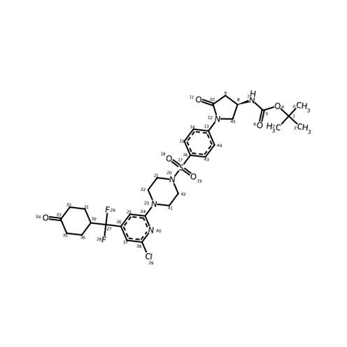 CC(C)(C)OC(=O)N[C@@H]1CC(=O)N(c2ccc(S(=O)(=O)N3CCN(c4cc(C(F)(F)C5CCC(=O)CC5)cc(Cl)n4)CC3)cc2)C1